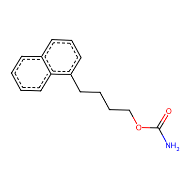 NC(=O)OCCCCc1cccc2ccccc12